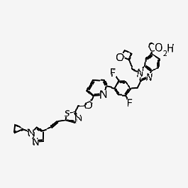 O=C(O)c1ccc2nc(Cc3cc(F)c(-c4cccc(OCc5ncc(C#Cc6cnn(C7CC7)c6)s5)n4)cc3F)n(CC3CCO3)c2c1